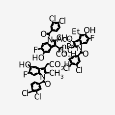 CCCC(C(=O)O)c1c(C)n(C(=O)c2ccc(Cl)c(Cl)c2)c2cc(F)c(O)cc12.CCc1c(O)c(F)cc2c1c(OC(C)=O)c(C)n2C(=O)c1ccc(Cl)c(Cl)c1.Cc1c(CC(=O)O)c2cc(O)c(F)cc2n1C(=O)c1ccc(Cl)c(Cl)c1